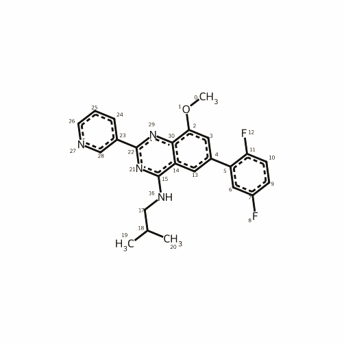 COc1cc(-c2cc(F)ccc2F)cc2c(NCC(C)C)nc(-c3cccnc3)nc12